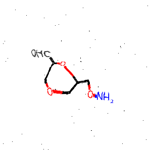 NOCC1COCC(C=O)O1